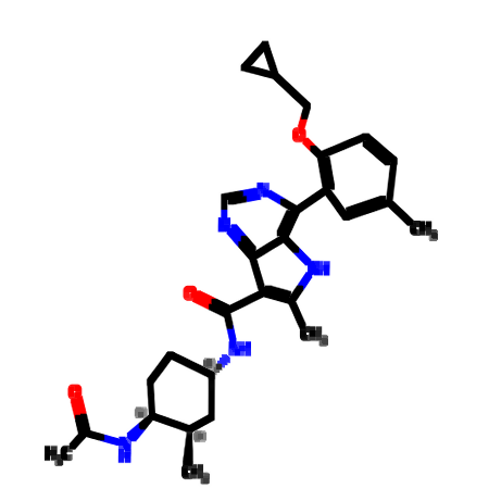 CC(=O)N[C@H]1CC[C@H](NC(=O)c2c(C)[nH]c3c(-c4cc(C)ccc4OCC4CC4)ncnc23)C[C@H]1C